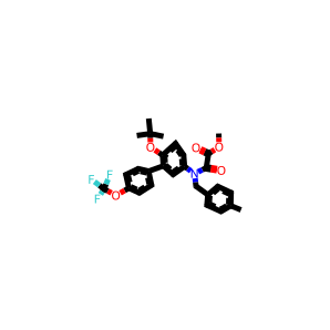 COC(=O)C(=O)N(Cc1ccc(C)cc1)c1ccc(OC(C)(C)C)c(-c2ccc(OC(F)(F)F)cc2)c1